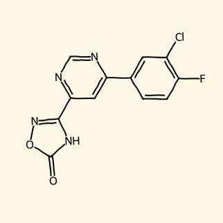 O=c1[nH]c(-c2cc(-c3ccc(F)c(Cl)c3)ncn2)no1